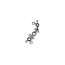 O=S(=O)(c1ccc(F)c(Cl)c1)C1CCN(c2nc(-c3ccc(F)c(Cl)c3)cs2)CC1